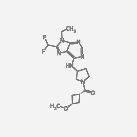 CCn1c(C(F)F)nc2c(NC3CCN(C(=O)[C@H]4C[C@H](OC)C4)C3)ncnc21